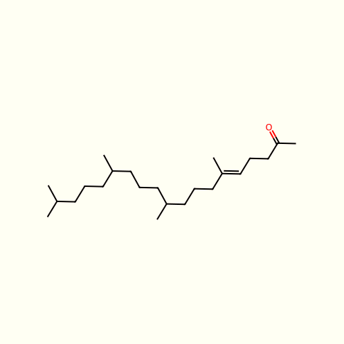 CC(=O)CC/C=C(\C)CCCC(C)CCCC(C)CCCC(C)C